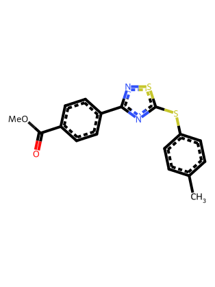 COC(=O)c1ccc(-c2nsc(Sc3ccc(C)cc3)n2)cc1